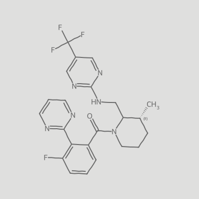 C[C@@H]1CCCN(C(=O)c2cccc(F)c2-c2ncccn2)C1CNc1ncc(C(F)(F)F)cn1